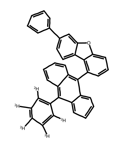 [2H]c1c([2H])c([2H])c(-c2c3ccccc3c(-c3cccc4oc5cc(-c6ccccc6)ccc5c34)c3ccccc23)c([2H])c1[2H]